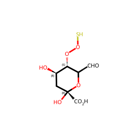 O=CC1O[C@@](O)(C(=O)O)C[C@@H](O)[C@@H]1OOS